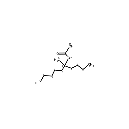 CCCCCC(C)(CCCC)OC(=O)O